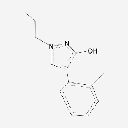 CCCn1cc(-c2ccccc2C)c(O)n1